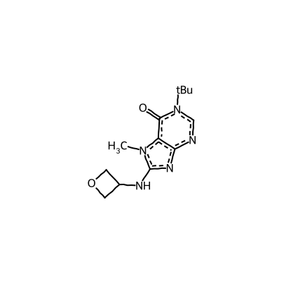 Cn1c(NC2COC2)nc2ncn(C(C)(C)C)c(=O)c21